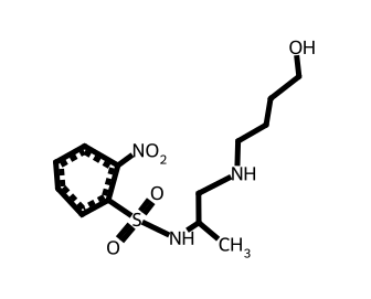 CC(CNCCCCO)NS(=O)(=O)c1ccccc1[N+](=O)[O-]